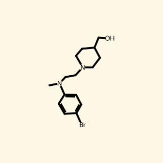 CN(CCN1CCC(CO)CC1)c1ccc(Br)cc1